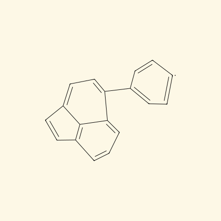 [c]1ccc(-c2ccc3c4c(cccc24)C=C3)cc1